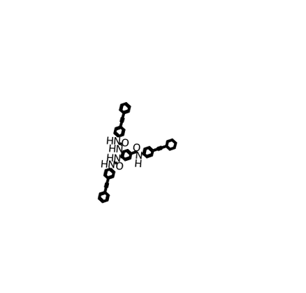 O=C(Nc1ccc(C#Cc2ccccc2)cc1)Nc1ccc(C(=O)Nc2ccc(C#CC3CCCCC3)cc2)cc1NC(=O)Nc1ccc(C#Cc2ccccc2)cc1